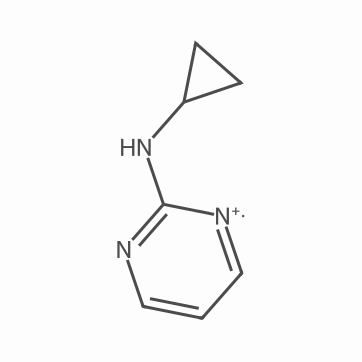 C1=CN=C(NC2CC2)[N+]=C1